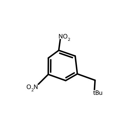 CC(C)(C)Cc1cc([N+](=O)[O-])cc([N+](=O)[O-])c1